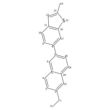 CCc1ccc2cc(-c3ccc4cc(C)sc4c3)ccc2c1